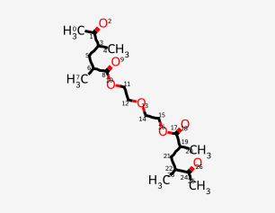 CC(=O)C(C)CC(C)C(=O)OCCOCCOC(=O)C(C)CC(C)C(C)=O